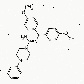 COc1ccc(C(N=C(N)N2CCN(c3ccccc3)CC2)c2ccc(OC)cc2)cc1